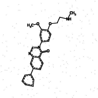 CNCCOc1ccc(-n2cnc3cc(-c4ccccc4)ccc3c2=O)cc1OC